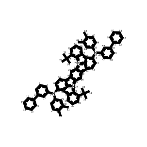 Cc1ccc(N(c2cccc(-c3ccccc3)c2)c2ccc3c4cc5c(cc4n4c6c(C(C)(C)C)cccc6c2c34)c2ccc(N(c3cccc(-c4ccccc4)c3)c3ccc(C)c(C)c3)c3c4cccc(C(C)(C)C)c4n5c23)cc1C